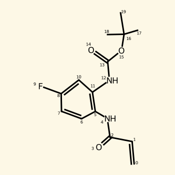 C=CC(=O)Nc1ccc(F)cc1NC(=O)OC(C)(C)C